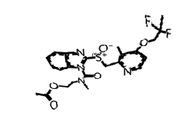 CC(=O)OCCN(C)C(=O)n1c([S@+]([O-])Cc2nccc(OCC(C)(F)F)c2C)nc2ccccc21